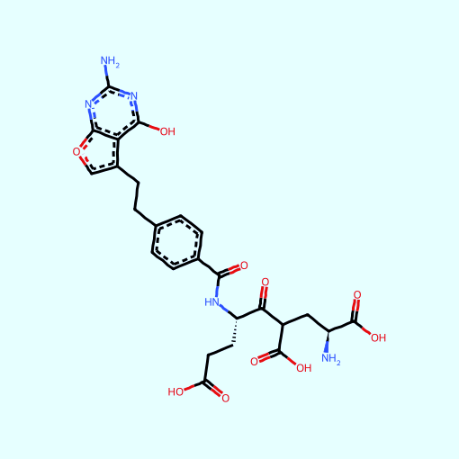 Nc1nc(O)c2c(CCc3ccc(C(=O)N[C@@H](CCC(=O)O)C(=O)C(C[C@H](N)C(=O)O)C(=O)O)cc3)coc2n1